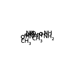 Cc1cccc([C@@H]2CN[C@@H](C(=O)NC(C)C(=O)NCc3ccc(C(=N)N)cc3)C2)c1